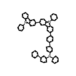 c1ccc(-c2cccc(N(c3ccccc3)c3ccc(-c4ccc(-c5ccc6c(c5)c5cc(-c7ccc8c(c7)c7ccccc7n8-c7ccccc7)ccc5n6-c5ccccc5)cc4)cc3)c2)cc1